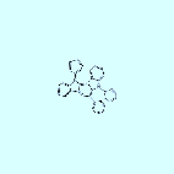 C1=CCC(n2c3ccccc3c3c4c(cc(-c5ccccc5)c32)c2ccccc2n4-c2ccccc2)C=C1